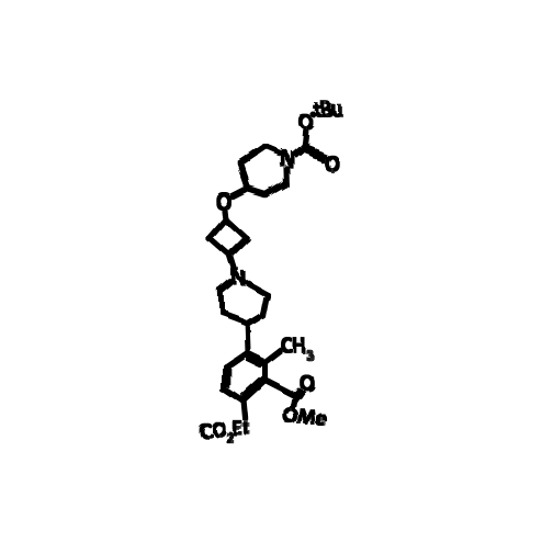 CCOC(=O)c1ccc(C2CCN(C3CC(OC4CCN(C(=O)OC(C)(C)C)CC4)C3)CC2)c(C)c1C(=O)OC